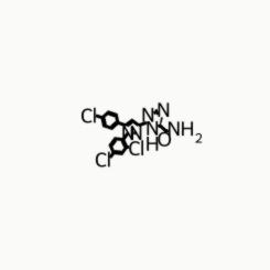 C[C@H](NC(=NC#N)c1cc(-c2ccc(Cl)cc2)n(-c2ccc(Cl)cc2Cl)n1)C(N)=O